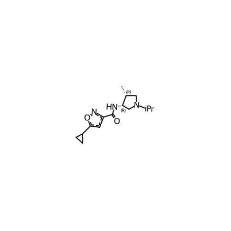 CC(C)N1C[C@@H](C)[C@@H](NC(=O)c2cc(C3CC3)on2)C1